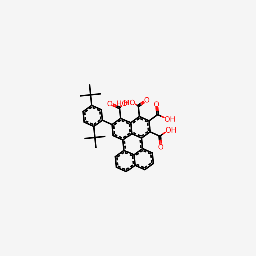 CC(C)(C)c1ccc(C(C)(C)C)c(-c2cc3c4cccc5cccc(c6c(C(=O)O)c(C(=O)O)c(C(=O)O)c(c2C(=O)O)c36)c54)c1